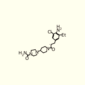 CCc1cc(C[CH]C(=O)N2CCC(N3CCN(C(N)=O)CC3)CC2)cc(Cl)c1N